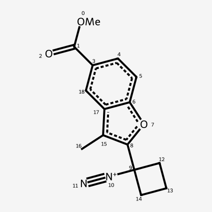 COC(=O)c1ccc2oc(C3([N+]#N)CCC3)c(C)c2c1